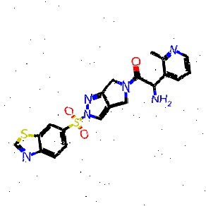 Cc1ncccc1C(N)C(=O)N1Cc2cn(S(=O)(=O)c3ccc4ncsc4c3)nc2C1